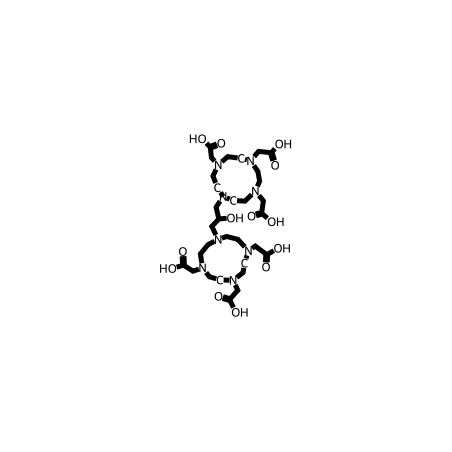 O=C(O)CN1CCN(CC(=O)O)CCN(CC(O)CN2CCN(CC(=O)O)CCN(CC(=O)O)CCN(CC(=O)O)CC2)CCN(CC(=O)O)CC1